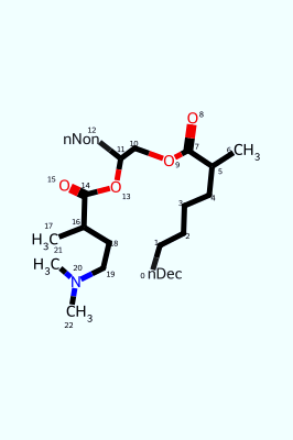 CCCCCCCCCCCCCCC(C)C(=O)OCC(CCCCCCCCC)OC(=O)C(C)CCN(C)C